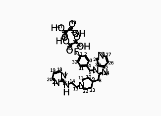 Fc1ccc(Cn2c(CC3CCN(CCNc4ncccn4)CC3)nc3ccncc32)cc1.O=C(O)C(=O)O.O=C(O)C(=O)O